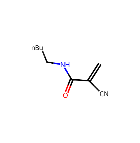 C=C(C#N)C(=O)NCCCCC